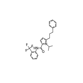 CC(C)n1c(CCCc2ccccc2)ccc1C(=O)Nc1ccccc1C(F)(F)F